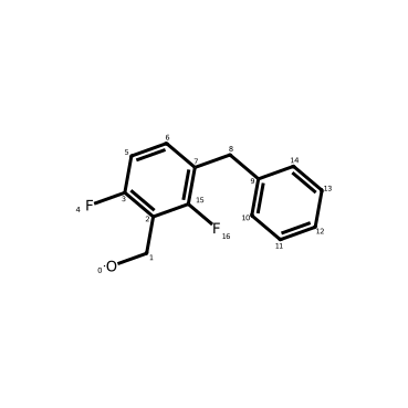 [O]Cc1c(F)ccc(Cc2ccccc2)c1F